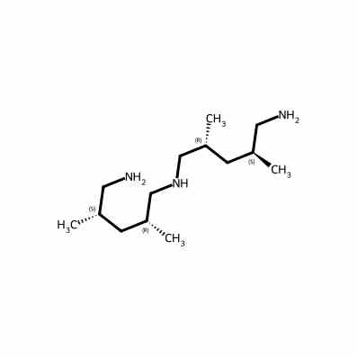 C[C@H](CN)C[C@@H](C)CNC[C@H](C)C[C@H](C)CN